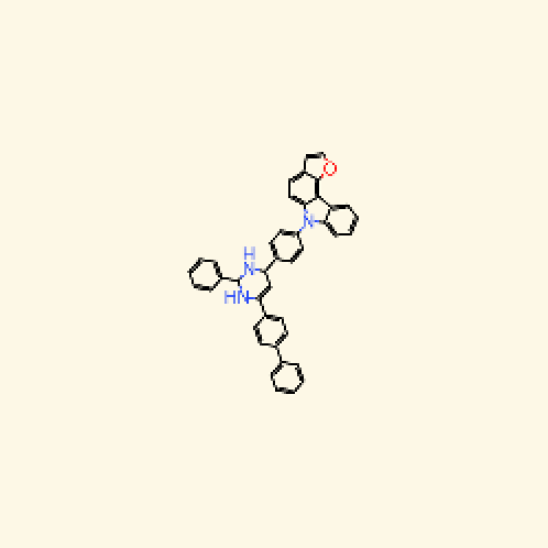 C1=C(c2ccc(-c3ccccc3)cc2)NC(c2ccccc2)NC1c1ccc(-n2c3ccccc3c3c4occc4ccc32)cc1